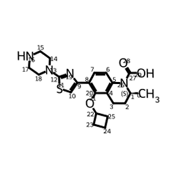 C[C@H]1CCc2c(ccc(-c3csc(N4CCNCC4)n3)c2OC2CCC2)N1C(=O)O